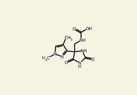 Cc1cn(C)nc1C1(CNC(=O)O)NC(=O)NC1=O